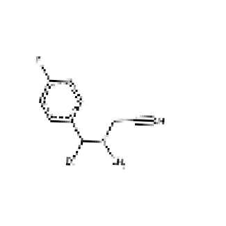 C#CCN(C)C(CC)c1ccc(F)cc1